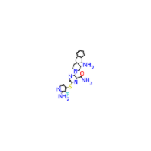 NC(=O)c1nc(Sc2ccnc(N)c2F)cnc1N1CCC2(CC1)Cc1ccccc1[C@H]2N